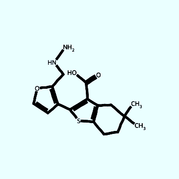 CC1(C)CCc2sc(-c3ccoc3CNN)c(C(=O)O)c2C1